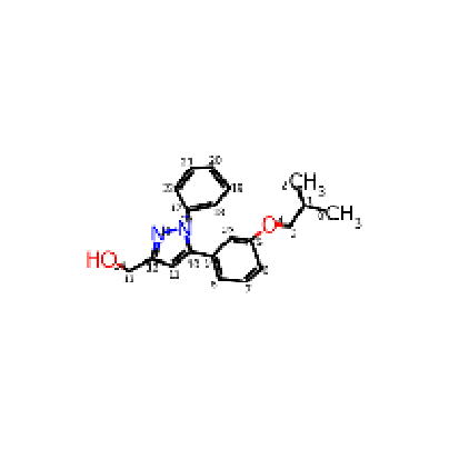 CC(C)COc1cccc(-c2cc(CO)nn2-c2ccccc2)c1